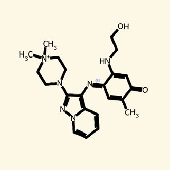 CC1=C/C(=N\c2c(N3CC[N+](C)(C)CC3)nn3ccccc23)C(NCCO)=CC1=O